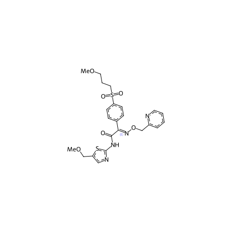 COCCCS(=O)(=O)c1ccc(/C(=N\OCc2ccccn2)C(=O)Nc2ncc(COC)s2)cc1